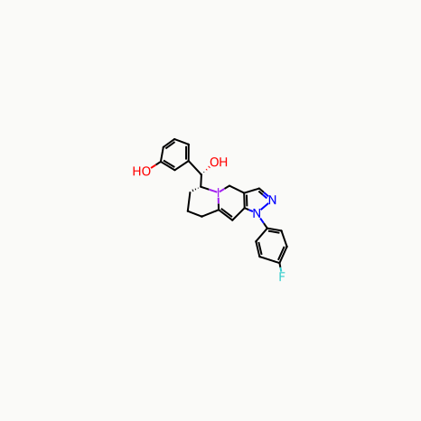 Oc1cccc([C@H](O)[C@H]2CCCC3=Cc4c(cnn4-c4ccc(F)cc4)CI32)c1